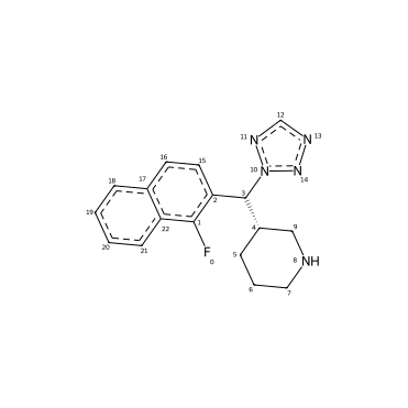 Fc1c(C([C@H]2CCCNC2)n2ncnn2)ccc2ccccc12